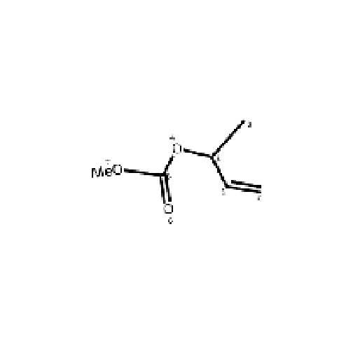 C=CC(C)OC(=O)OC